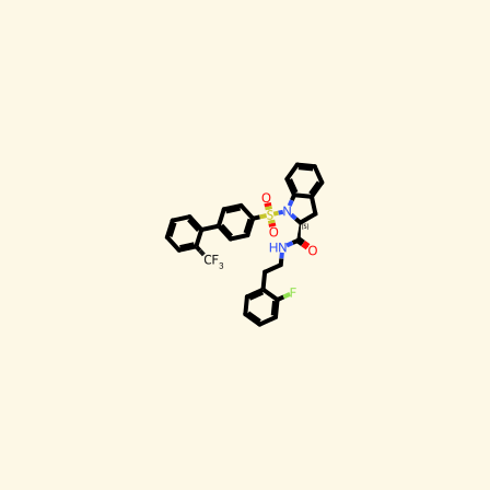 O=C(NCCc1ccccc1F)[C@@H]1Cc2ccccc2N1S(=O)(=O)c1ccc(-c2ccccc2C(F)(F)F)cc1